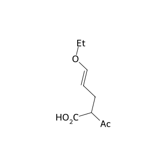 CCO/C=C/CC(C(C)=O)C(=O)O